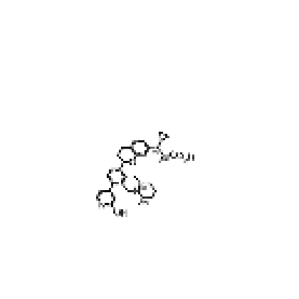 C[C@H](C(=O)O)[C@H](c1ccc2c(c1)OC(c1ccc(-c3ccnc(O)c3)c(CN3[C@H](C)CCC[C@@H]3C)c1)CC2)C1CC1